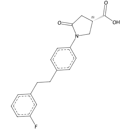 O=C(O)[C@H]1CC(=O)N(c2ccc(CCc3cccc(F)c3)cc2)C1